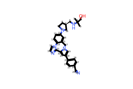 CC(C)(CO)NC[C@@H]1CCN(c2ccc3c(c2)Cn2cc(-c4ccc(C#N)cc4)cc2-c2nccn2-3)C1